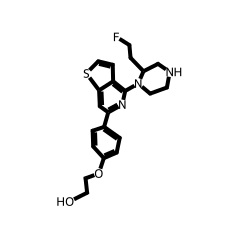 OCCOc1ccc(-c2cc3sccc3c(N3CCNCC3CCF)n2)cc1